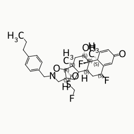 CCCc1ccc(CN2C[C@@H]3CC4[C@@H]5C[C@H](F)C6=CC(=O)C=C[C@]6(C)[C@@]5(F)[C@@H](O)C[C@]4(C)[C@]3(C(=O)SCF)O2)cc1